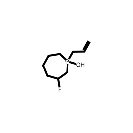 C=CC[P]1(O)CCCCC(F)C1